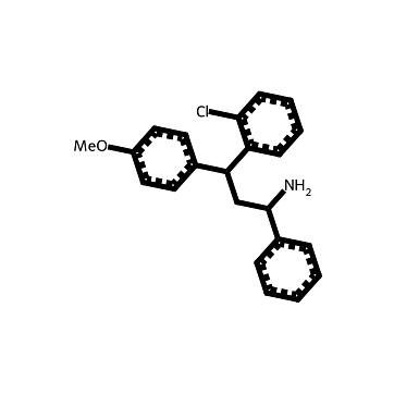 COc1ccc(C(CC(N)c2ccccc2)c2ccccc2Cl)cc1